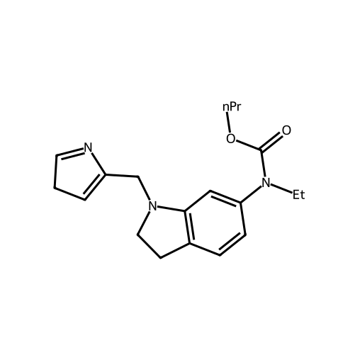 CCCOC(=O)N(CC)c1ccc2c(c1)N(CC1=CCC=N1)CC2